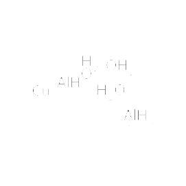 O.O.O.[AlH3].[AlH3].[Cu]